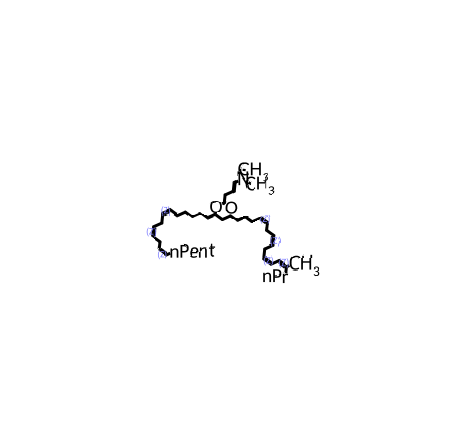 CCCCC/C=C\C/C=C\C/C=C\CCCCCC(CCCCC/C=C\C/C=C\C/C=C\C=C(\C)CCC)OC(=O)CCCN(C)C